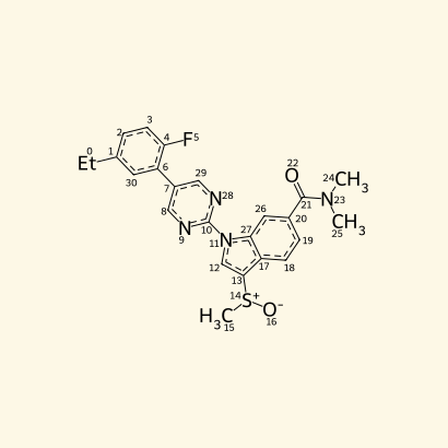 CCc1ccc(F)c(-c2cnc(-n3cc([S+](C)[O-])c4ccc(C(=O)N(C)C)cc43)nc2)c1